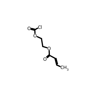 CC=CC(=O)OCCOC(=O)Cl